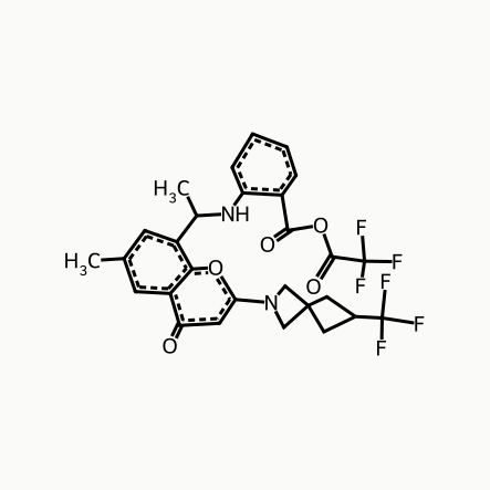 Cc1cc(C(C)Nc2ccccc2C(=O)OC(=O)C(F)(F)F)c2oc(N3CC4(CC(C(F)(F)F)C4)C3)cc(=O)c2c1